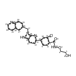 O=C(NOCCO)c1ccc(-c2ccc3[nH]n(Cc4ccc5ncccc5c4)c3n2)cc1Cl